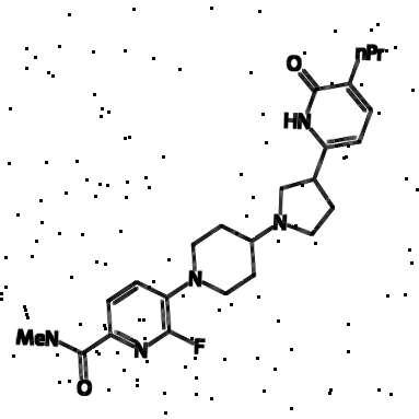 CCCc1ccc(C2CCN(C3CCN(c4ccc(C(=O)NC)nc4F)CC3)C2)[nH]c1=O